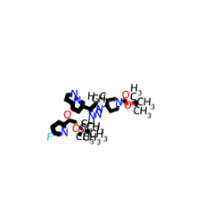 Cc1c(-c2cc(OC(CO[Si](C)(C)C(C)(C)C)c3ccc(F)cn3)c3ccnn3c2)nnn1[C@H]1CCN(C(=O)OC(C)(C)C)C[C@H]1C